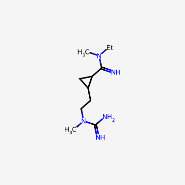 CCN(C)C(=N)C1CC1CCN(C)C(=N)N